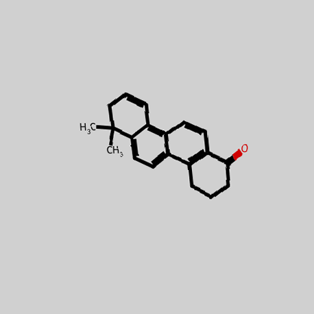 CC1(C)CC=Cc2c1ccc1c3c(ccc21)C(=O)CCC3